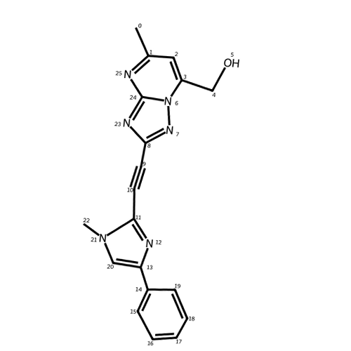 Cc1cc(CO)n2nc(C#Cc3nc(-c4ccccc4)cn3C)nc2n1